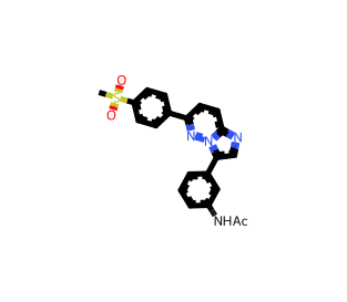 CC(=O)Nc1cccc(-c2cnc3ccc(-c4ccc(S(C)(=O)=O)cc4)nn23)c1